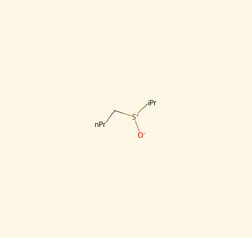 [CH2]CCC[S+]([O-])C(C)C